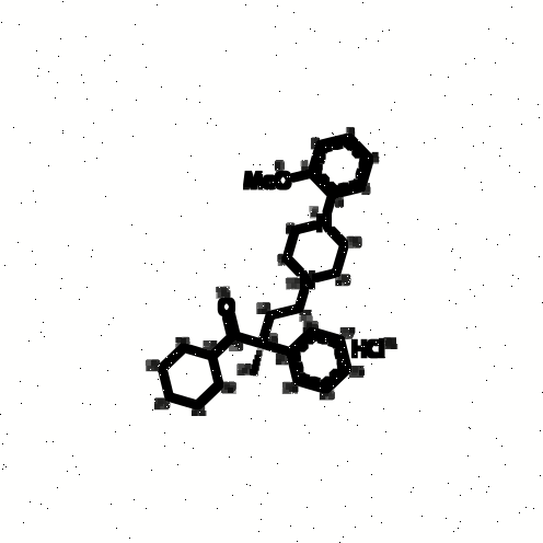 COc1ccccc1N1CCN(CC[C@](C)(C(=O)C2CCCCC2)c2ccccc2)CC1.Cl